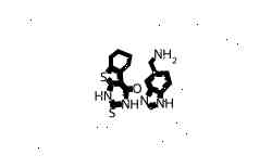 NCc1ccc2[nH]cnc2c1.O=c1[nH]c(=S)[nH]c2sc3c(c12)CCCC3